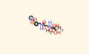 CC(C)(CO)[C@@H](O)C(=O)NCCC(=O)C(=O)NCc1cccc(S(=O)(=O)N2CCCCC2)c1